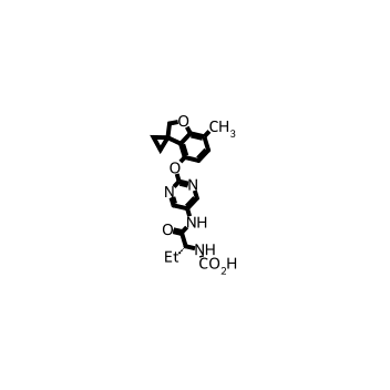 CC[C@@H](NC(=O)O)C(=O)Nc1cnc(Oc2ccc(C)c3c2C2(CC2)CO3)nc1